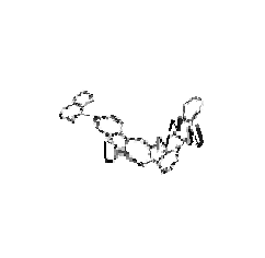 c1ccc2c(-c3ccc4c(c3)oc3cc5c6cccc7c8nc9ccccc9nc8n(c5cc34)c67)cccc2c1